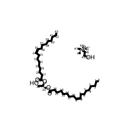 CCCCCCCC/C=C\CCCCCCCC(=O)OC[C@H](CO)OC(=O)CCCCCCC/C=C\CCCCCCCC.C[N+](C)(C)CCO.[Br-]